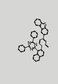 C=C/C=C(\C=C/Cc1ccc2ccccc2c1-c1nc(-c2ccccc2)nc(-c2ccccc2)n1)c1ccc2sc3ccccc3c2c1